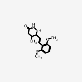 COc1cccc(SC)c1/C=C/C1NNC(=O)CC1C